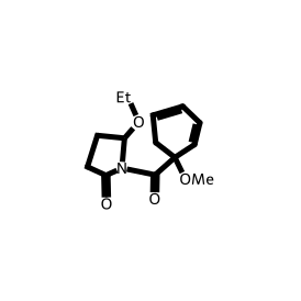 CCOC1CCC(=O)N1C(=O)C1(OC)C=CC=CC1